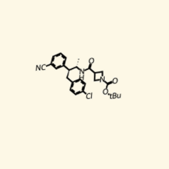 C[C@H](NC(=O)C1CN(C(=O)OC(C)(C)C)C1)[C@@H](Cc1ccc(Cl)cc1)c1cccc(C#N)c1